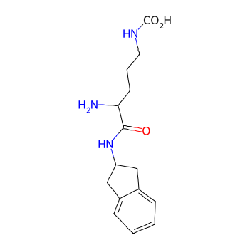 NC(CCCNC(=O)O)C(=O)NC1Cc2ccccc2C1